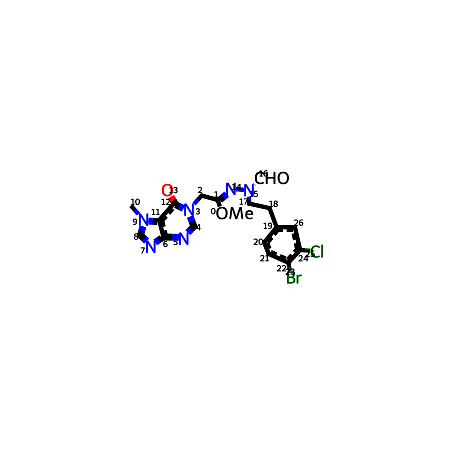 CO/C(Cn1cnc2ncn(C)c2c1=O)=N\N(C=O)CCc1ccc(Br)c(Cl)c1